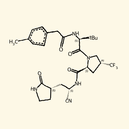 Cc1ccc(CC(=O)N[C@H](C(=O)N2C[C@H](C(F)(F)F)C[C@H]2C(=O)N[C@H](C#N)C[C@@H]2CCNC2=O)C(C)(C)C)cc1